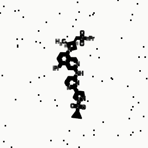 CCCS(=O)(=O)C[C@H]1CN(c2ccc(C(C)C)c3cc(Nc4ccnc(-c5cnn(S(=O)(=O)C6CC6)c5)n4)ncc23)[C@@H]1C